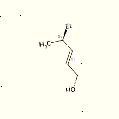 CC[C@H](C)/C=C/CO